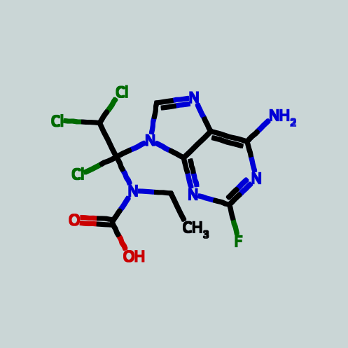 CCN(C(=O)O)C(Cl)(C(Cl)Cl)n1cnc2c(N)nc(F)nc21